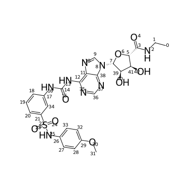 CCNC(=O)[C@H]1O[C@@H](n2cnc3c(NC(=O)Nc4cccc(S(=O)(=O)Nc5ccc(OC)cc5)c4)ncnc32)[C@H](O)[C@@H]1O